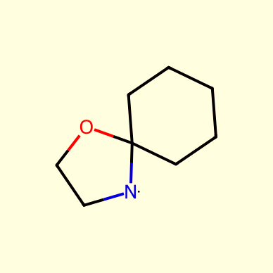 C1CCC2(CC1)[N]CCO2